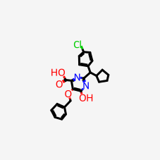 O=C(O)c1nc(C(c2ccc(Cl)cc2)C2CCCC2)nc(O)c1OCc1ccccc1